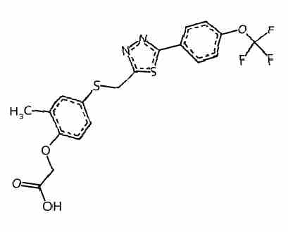 Cc1cc(SCc2nnc(-c3ccc(OC(F)(F)F)cc3)s2)ccc1OCC(=O)O